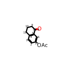 CC(=O)Oc1ccc2c(c1)C(=O)CCC2